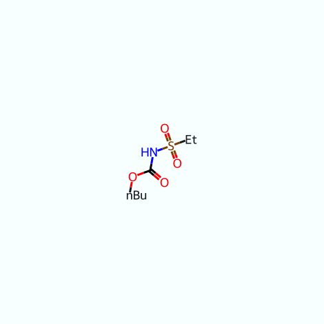 CCCCOC(=O)NS(=O)(=O)CC